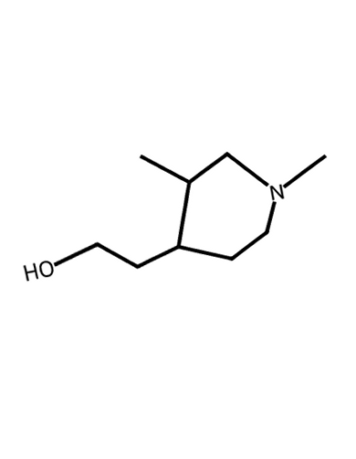 CC1CN(C)CCC1CCO